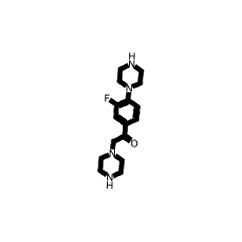 O=C(CN1CCNCC1)c1ccc(N2CCNCC2)c(F)c1